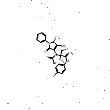 C=C(Nc1ccc(Br)cc1)C(C)(CC)N(C(N)=O)c1c(C)n(C)n(-c2ccccc2)c1=O